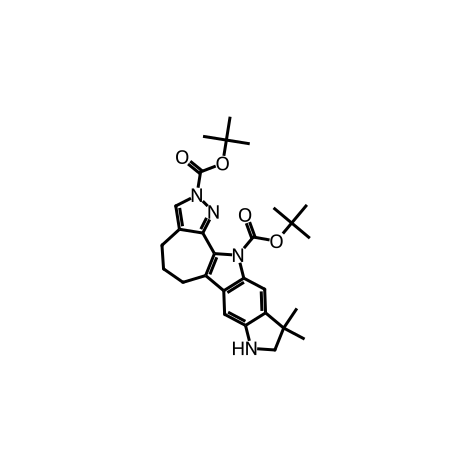 CC(C)(C)OC(=O)n1cc2c(n1)-c1c(c3cc4c(cc3n1C(=O)OC(C)(C)C)C(C)(C)CN4)CCC2